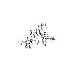 C[C@@H]1CN([C@]2(C(=O)O)CN3C(=O)[C@@H](NC(=O)/C(=N\OC(C)(C)C(=O)OC(C)(C)C)c4csc(N)n4)[C@H]3S2)C(=O)N1N